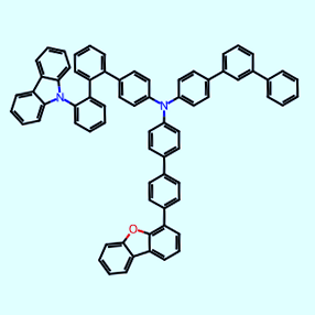 c1ccc(-c2cccc(-c3ccc(N(c4ccc(-c5ccc(-c6cccc7c6oc6ccccc67)cc5)cc4)c4ccc(-c5ccccc5-c5ccccc5-n5c6ccccc6c6ccccc65)cc4)cc3)c2)cc1